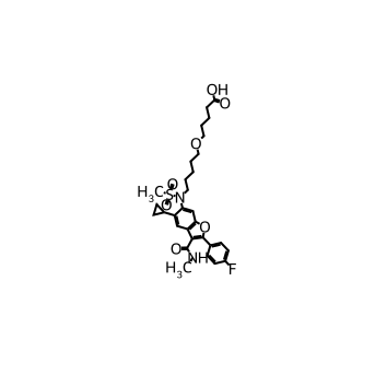 CNC(=O)c1c(-c2ccc(F)cc2)oc2cc(N(CCCCCOCCCCC(=O)O)S(C)(=O)=O)c(C3CC3)cc12